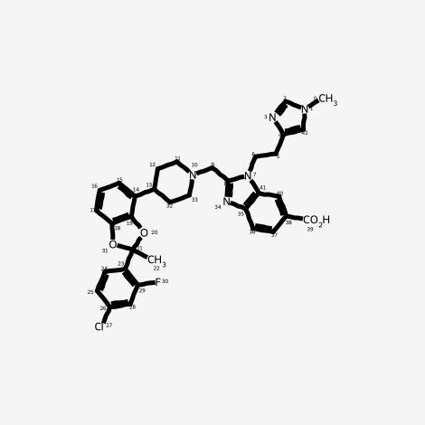 Cn1cnc(CCn2c(CN3CCC(c4cccc5c4OC(C)(c4ccc(Cl)cc4F)O5)CC3)nc3ccc(C(=O)O)cc32)c1